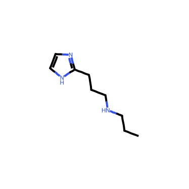 CCCNCCCc1ncc[nH]1